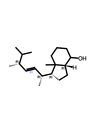 CC(C)[C@@H](C)/C=C/[C@@H](C)[C@H]1CC[C@H]2C(O)CCCC12C